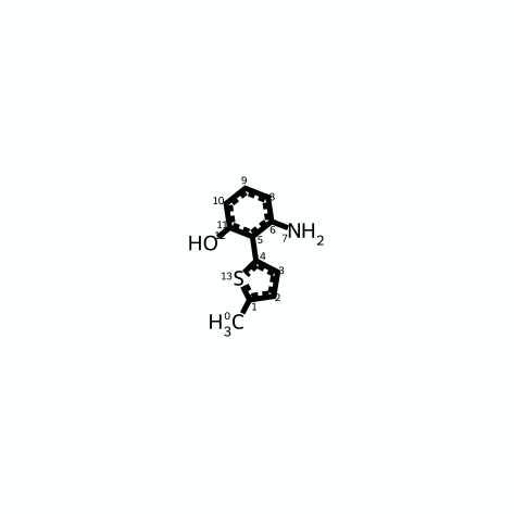 Cc1ccc(-c2c(N)cccc2O)s1